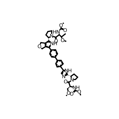 COC[C@H](NC(=O)OC)C(=O)N1CCC[C@H]1c1ncc(-c2ccc(-c3ccc(-c4[nH]c([C@@H]5CCCN5C(=O)[C@@H](NC(=O)OC)C(C)OC)c5c4COC5)cc3)cc2)[nH]1